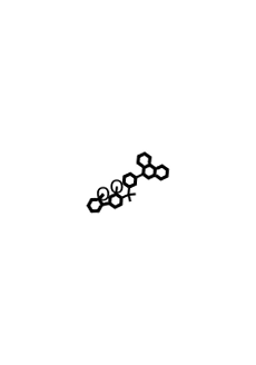 CC1(C)c2cc(-c3cc4ccccc4c4ccccc34)ccc2Oc2c1ccc1c2oc2ccccc21